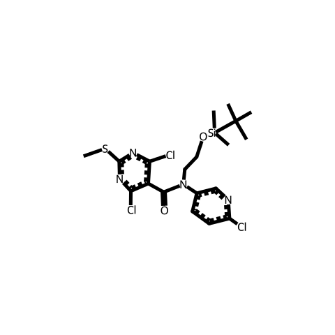 CSc1nc(Cl)c(C(=O)N(CCO[Si](C)(C)C(C)(C)C)c2ccc(Cl)nc2)c(Cl)n1